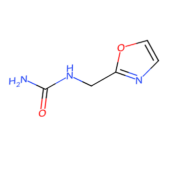 NC(=O)NCc1ncco1